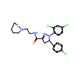 O=C(NCCN1CCCCC1)C1=NN(c2ccc(Cl)cc2Cl)C(c2ccc(Cl)cc2)C1